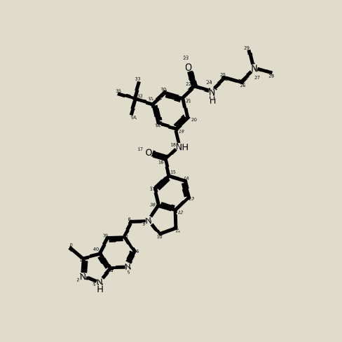 Cc1n[nH]c2ncc(CN3CCc4ccc(C(=O)Nc5cc(C(=O)NCCN(C)C)cc(C(C)(C)C)c5)cc43)cc12